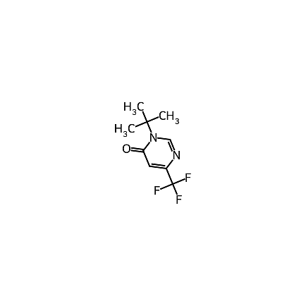 CC(C)(C)n1cnc(C(F)(F)F)cc1=O